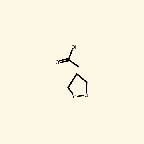 C1COOC1.CC(=O)O